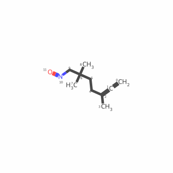 C=C=C(C)CCC(C)(C)CN=O